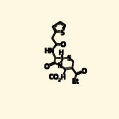 CCC(=O)C1=C(C(=O)O)N2C(=O)C(NC(=O)Cc3cccs3)[C@@H]2SC1